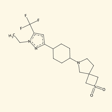 CCn1nc(C2CCC(N3CCC4(C3)CS(=O)(=O)C4)CC2)cc1C(F)(F)F